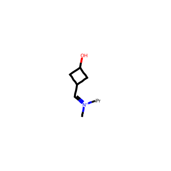 CC(C)/[N+](C)=C\C1CC(O)C1